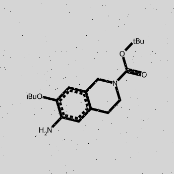 CC(C)COc1cc2c(cc1N)CCN(C(=O)OC(C)(C)C)C2